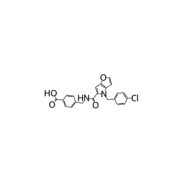 O=C(O)c1ccc(CNC(=O)c2cc3occc3n2Cc2ccc(Cl)cc2)cc1